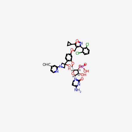 Nc1ccn([C@@H]2O[C@H](COc3cc(OCc4c(-c5c(Cl)cccc5Cl)noc4C4CC4)ccc3C3(O)CN(c4cc(C=O)ccn4)C3)[C@@H](O[PH](=O)O)[C@H]2O)c(=O)n1